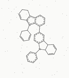 C1=CCC(n2c3c(c4cccc(-c5ccc6c(c5)C5C=CC=CC5N6c5ccccc5)c42)CCC=C3)C=C1